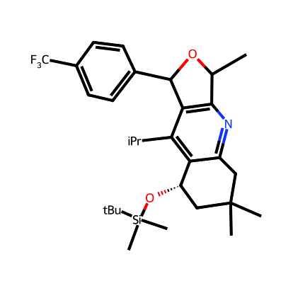 CC(C)c1c2c(nc3c1[C@@H](O[Si](C)(C)C(C)(C)C)CC(C)(C)C3)C(C)OC2c1ccc(C(F)(F)F)cc1